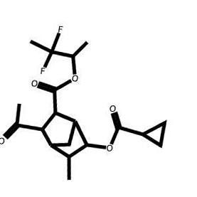 CC(=O)C1C2CC(C(OC(=O)C3CC3)C2C)C1C(=O)OC(C)C(C)(F)F